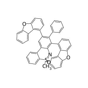 CS1(=O)=Nc2c(cc(-c3cccc4oc5ccccc5c34)c(-c3ccccc3)c2-c2cccc3oc4ccccc4c23)-c2ccccc21